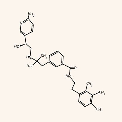 Cc1c(O)ccc(CCNC(=O)c2cccc(CC(C)(C)NC[C@@H](O)c3ccc(N)nc3)c2)c1C